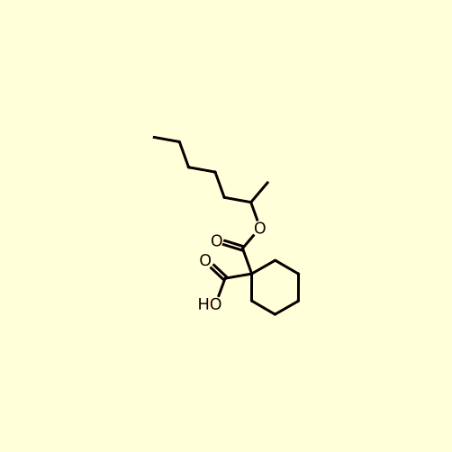 CCCCCC(C)OC(=O)C1(C(=O)O)CCCCC1